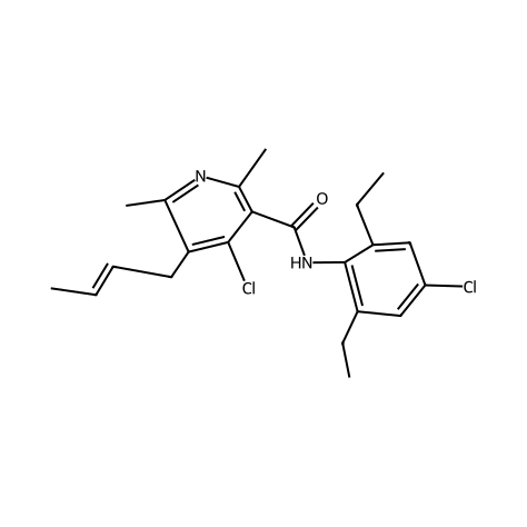 CC=CCc1c(C)nc(C)c(C(=O)Nc2c(CC)cc(Cl)cc2CC)c1Cl